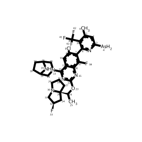 Cc1cc([AsH2])nc(-c2c(Cl)cc3c(N4CC5CCC(C4)N5)nc(OC(C)[C@]45CCCN4C[C@H](F)C5)nc3c2F)c1C(F)(F)F